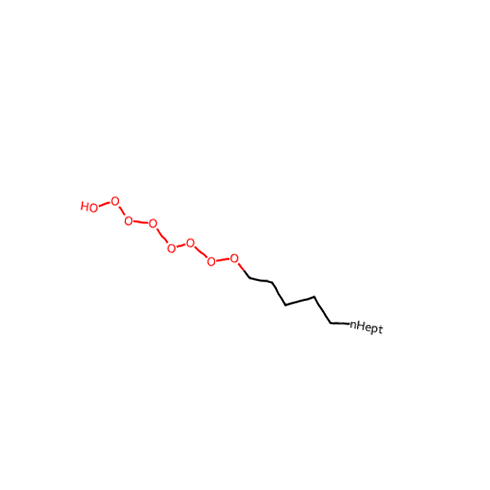 CCCCCCCCCCCCOOOOOOOO